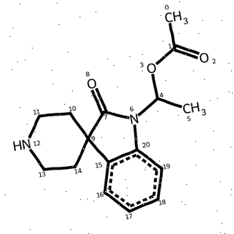 CC(=O)OC(C)N1C(=O)C2(CCNCC2)c2ccccc21